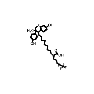 CC1(c2ccc(O)cc2)CSc2cc(O)ccc2C1CCCCCCCCC[C@H](CCCC(F)(F)C(F)(F)F)C(=O)O